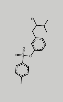 CCC(Cc1cccc(OS(=O)(=O)c2ccc(C)cc2)c1)N(C)C